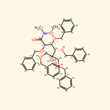 CON(C)C(=O)[C@H](OCc1ccccc1)[C@@H](OCc1ccccc1)[C@H](OCc1ccccc1)C(O)(COCc1ccccc1)COCc1ccccc1